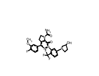 COc1cc(-c2nn(-c3cc(N4CCC(O)C4)ccc3C(F)(F)F)c(=O)c3c2CCN3C(N)=O)ccc1F